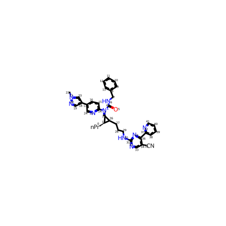 CCC[C@H]1/C(=[N+](/C(=O)NCc2ccccc2)c2ccc(-c3cnn(C)c3)cn2)C1CCCNc1ncc(C#N)c(-c2ccccn2)n1